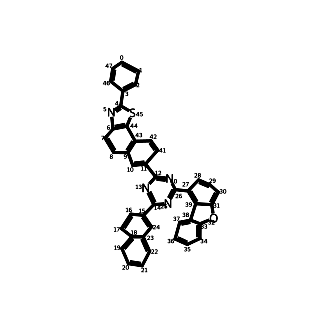 c1ccc(-c2nc3ccc4cc(-c5nc(-c6ccc7ccccc7c6)nc(-c6cccc7oc8ccccc8c67)n5)ccc4c3s2)cc1